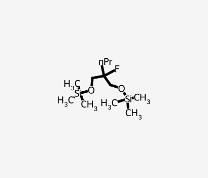 CCCC(F)(CO[Si](C)(C)C)CO[Si](C)(C)C